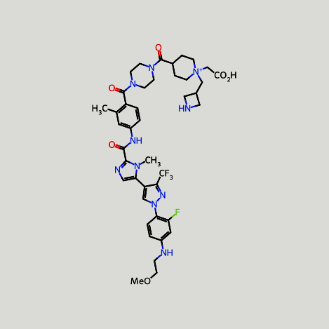 COCCNc1ccc(-n2cc(-c3cnc(C(=O)Nc4ccc(C(=O)N5CCN(C(=O)C6CC[N+](CC(=O)O)(CC7CNC7)CC6)CC5)c(C)c4)n3C)c(C(F)(F)F)n2)c(F)c1